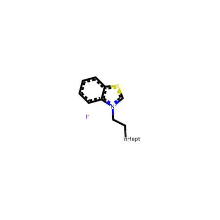 CCCCCCCCC[n+]1csc2ccccc21.[I-]